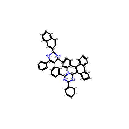 C1=C(c2ccccc2)NC(c2ccc3ccccc3c2)NC1c1ccc(-c2c(C3N=C(c4ccccc4)NC(c4ccccc4)N3)c3ccccc3c3ccccc23)cc1